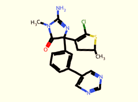 CC1CC(C2(c3cccc(-c4cncnc4)c3)N=C(N)N(C)C2=O)=C(Cl)S1